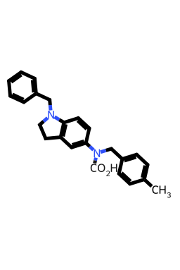 Cc1ccc(CN(C(=O)O)c2ccc3c(c2)CCN3Cc2ccccc2)cc1